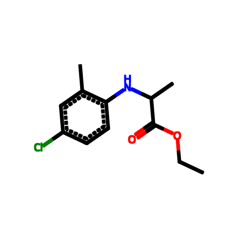 CCOC(=O)C(C)Nc1ccc(Cl)cc1C